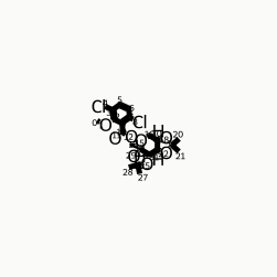 COc1c(Cl)ccc(Cl)c1C(=O)OC[C@@]12OC[C@H]3OC(C)(C)O[C@H]3[C@@H]1OC(C)(C)O2